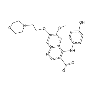 COc1cc2c(Nc3ccc(O)cc3)c([N+](=O)[O-])cnc2cc1OCCN1CCOCC1